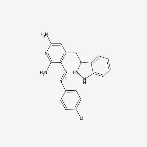 Nc1cc(CN2NNc3ccccc32)c(/N=N/c2ccc(Cl)cc2)c(N)n1